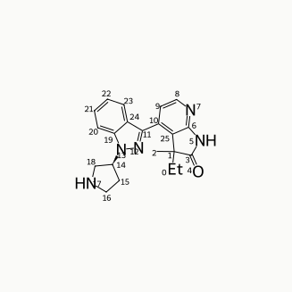 CCC1(C)C(=O)Nc2nccc(-c3nn([C@H]4CCNC4)c4ccccc34)c21